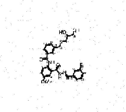 COc1ccc(NC(=O)c2cccc(CSCC(O)CO)c2)c(C(=O)NN=Cc2cccc(F)c2)c1